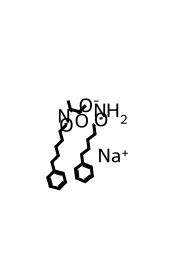 CC(=NOCCCCCc1ccccc1)C(=O)[O-].NOCCCCCc1ccccc1.[Na+]